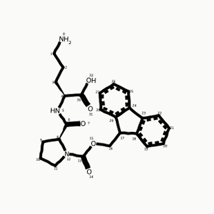 NCCC[C@H](NC(=O)[C@@H]1CCCN1C(=O)OCC1c2ccccc2-c2ccccc21)C(=O)O